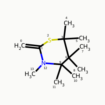 C=C1SC(C)(C)C(C)(C)C(C)(C)N1C